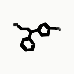 Nc1ccc(C(CCO)c2ccccn2)cc1